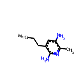 COCCc1cc(N)c(C)nc1N